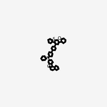 c1ccc(N(c2ccc(-c3ccc(-c4cc5c6ccccc6oc5c5sc6ccccc6c45)cc3)cc2)c2ccc3c(c2)oc2ccc4ccccc4c23)cc1